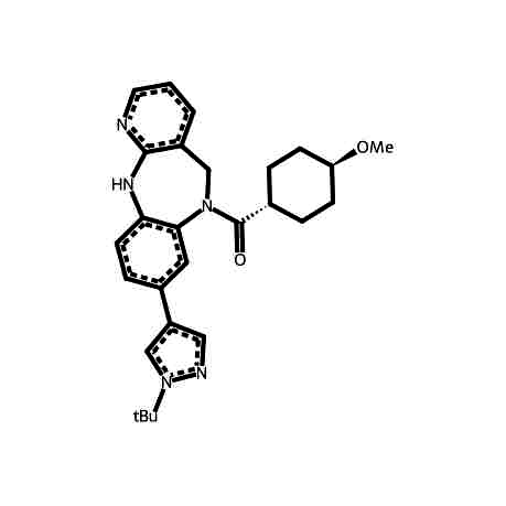 CO[C@H]1CC[C@H](C(=O)N2Cc3cccnc3Nc3ccc(-c4cnn(C(C)(C)C)c4)cc32)CC1